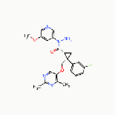 COc1cncc(N(N)C(=O)[C@@H]2C[C@@]2(COc2cnc(C)nc2C)c2cccc(F)c2)c1